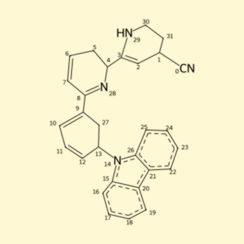 N#CC1C=C(C2CC=CC(C3=CC=CC(n4c5ccccc5c5ccccc54)C3)=N2)NCC1